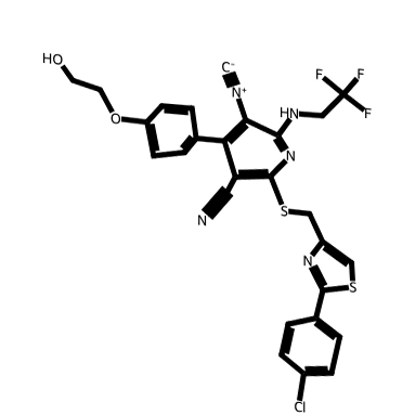 [C-]#[N+]c1c(NCC(F)(F)F)nc(SCc2csc(-c3ccc(Cl)cc3)n2)c(C#N)c1-c1ccc(OCCO)cc1